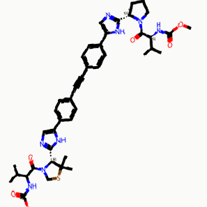 COC(=O)NC(C(=O)N1CSC(C)(C)[C@H]1c1ncc(-c2ccc(C#Cc3ccc(-c4cnc([C@@H]5CCCN5C(=O)[C@@H](NC(=O)OC)C(C)C)[nH]4)cc3)cc2)[nH]1)C(C)C